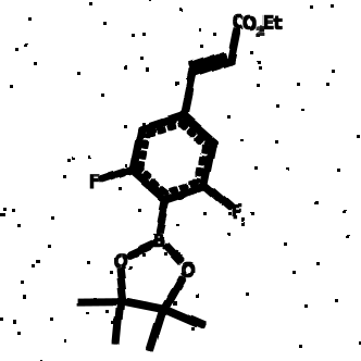 CCOC(=O)/C=C/c1cc(F)c(B2OC(C)(C)C(C)(C)O2)c(F)c1